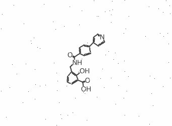 O=C(NCc1cccc(C(=O)O)c1O)c1ccc(-c2ccncc2)cc1